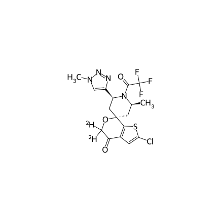 [2H]C1([2H])O[C@]2(C[C@H](C)N(C(=O)C(F)(F)F)[C@H](c3cn(C)nn3)C2)c2sc(Cl)cc2C1=O